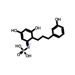 O=P(O)(O)/N=C1\C=C(O)C=C(O)C1CCCc1cccc(O)c1